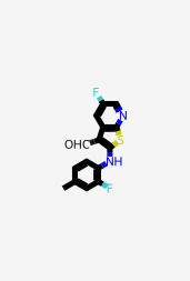 Cc1ccc(Nc2sc3ncc(F)cc3c2C=O)c(F)c1